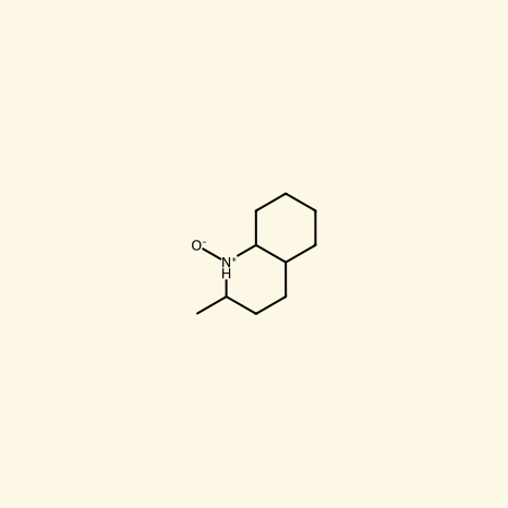 CC1CCC2CCCCC2[NH+]1[O-]